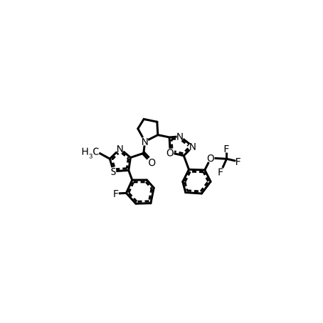 Cc1nc(C(=O)N2CCCC2c2nnc(-c3ccccc3OC(F)(F)F)o2)c(-c2ccccc2F)s1